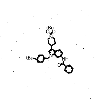 CC(C)(C)OC(=O)N1CCC(c2cn(Cc3ccc(C(C)(C)C)cc3)c3cc(NC(=O)c4ccccc4)ccc23)CC1